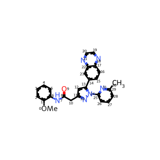 COc1ccccc1NC(=O)Cc1cc(-c2ccc3nccnc3c2)n(-c2cccc(C)n2)n1